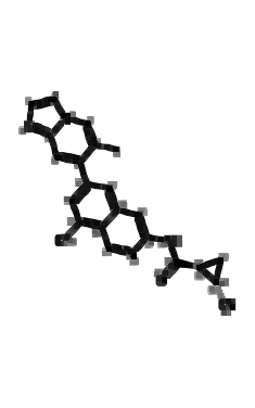 Cc1cn2ccnc2cc1-c1cc(Cl)c2cnc(NC(=O)[C@H]3C[C@@H]3C#N)cc2c1